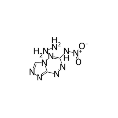 NN.O=[N+]([O-])Nc1nnc2nncn2n1